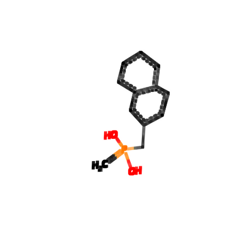 C=P(O)(O)Cc1ccc2ccccc2c1